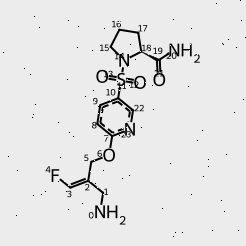 NC/C(=C/F)COc1ccc(S(=O)(=O)N2CCC[C@H]2C(N)=O)cn1